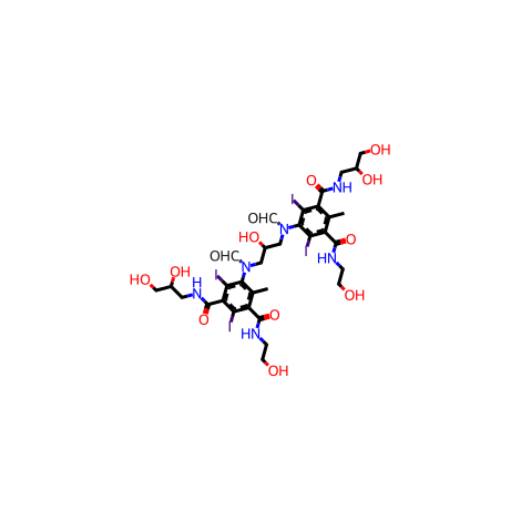 Cc1c(C(=O)NCCO)c(I)c(N(C=O)CC(O)CN(C=O)c2c(C)c(C(=O)NCCO)c(I)c(C(=O)NCC(O)CO)c2I)c(I)c1C(=O)NCC(O)CO